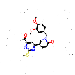 COc1ccc(Cn2cc(-c3cc(C(C)=O)nc(SC)n3)ccc2=O)cc1OC